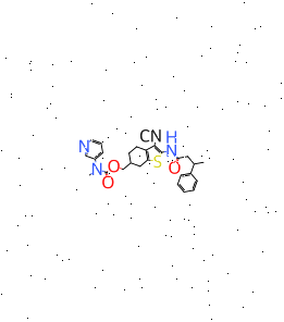 CC(CC(=O)Nc1sc2c(c1C#N)CCC(COC(=O)N(C)c1cccnc1)C2)c1ccccc1